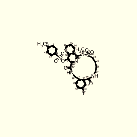 Cc1ccc(S(=O)(=O)Oc2c3nc(c4cccnc24)N(C)S(=O)(=O)CCCCNC(=O)c2cc(F)ccc2CNC3=O)cc1